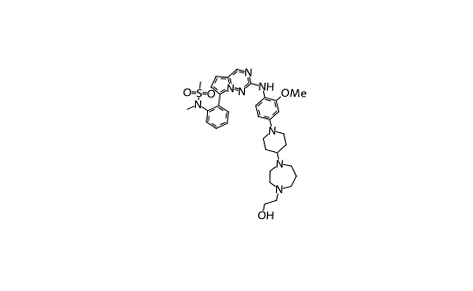 COc1cc(N2CCC(N3CCCN(CCO)CC3)CC2)ccc1Nc1ncc2ccc(-c3ccccc3N(C)S(C)(=O)=O)n2n1